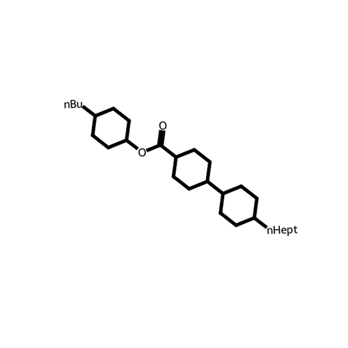 CCCCCCCC1CCC(C2CCC(C(=O)OC3CCC(CCCC)CC3)CC2)CC1